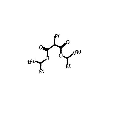 CCC(OC(=O)C(C(=O)OC(CC)C(C)(C)C)C(C)C)C(C)(C)C